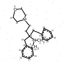 CN(C)C(CCN1CCOCC1)(Cc1ccccc1)Cc1ccccc1